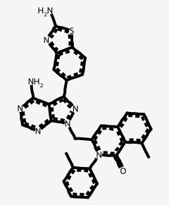 Cc1ccccc1-n1c(Cn2nc(-c3ccc4sc(N)nc4c3)c3c(N)ncnc32)cc2cccc(C)c2c1=O